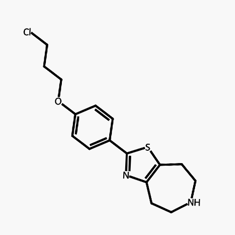 ClCCCOc1ccc(-c2nc3c(s2)CCNCC3)cc1